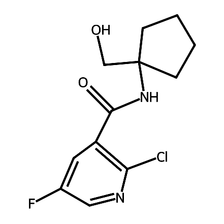 O=C(NC1(CO)CCCC1)c1cc(F)cnc1Cl